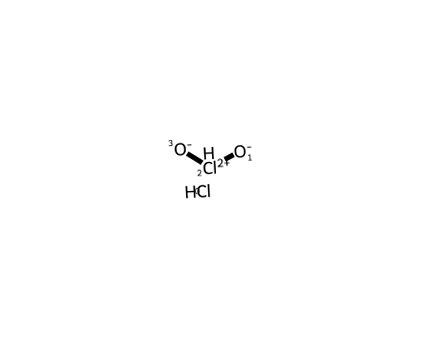 Cl.[O-][ClH+2][O-]